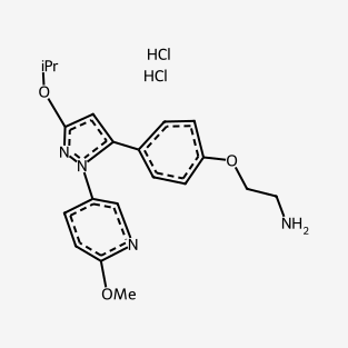 COc1ccc(-n2nc(OC(C)C)cc2-c2ccc(OCCN)cc2)cn1.Cl.Cl